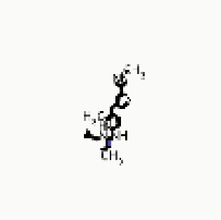 CC/C=C(\NC=C1CC1)Nc1ccc(Cc2ccnc(-c3cnn(C)c3)c2)c(C)n1